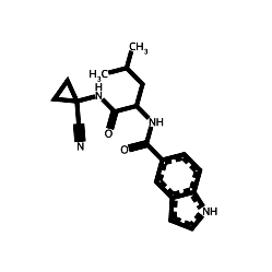 CC(C)CC(NC(=O)c1ccc2[nH]ccc2c1)C(=O)NC1(C#N)CC1